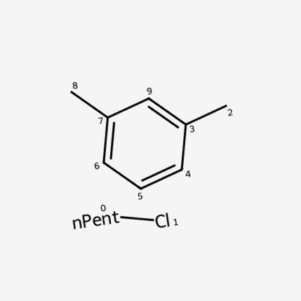 CCCCCCl.Cc1cccc(C)c1